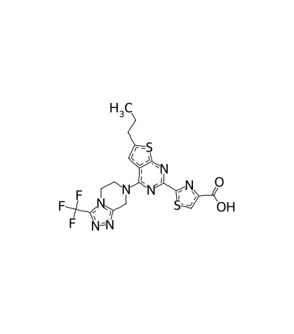 CCCc1cc2c(N3CCn4c(nnc4C(F)(F)F)C3)nc(-c3nc(C(=O)O)cs3)nc2s1